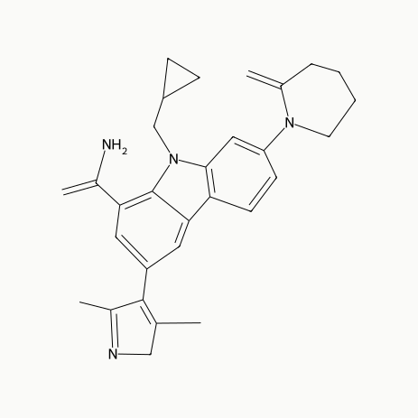 C=C(N)c1cc(C2=C(C)CN=C2C)cc2c3ccc(N4CCCCC4=C)cc3n(CC3CC3)c12